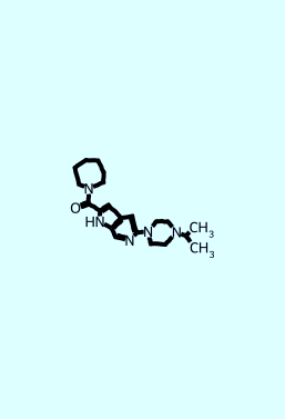 CC(C)N1CCN(c2cc3cc(C(=O)N4CCCCCC4)[nH]c3cn2)CC1